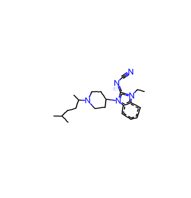 CCn1/c(=N\C#N)n(C2CCN(C(C)CCC(C)C)CC2)c2ccccc21